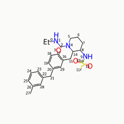 CCNC(=O)N1CCCC(NS(C)(=O)=O)C1Cc1cccc(Cc2cccc(C)c2)c1